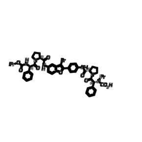 CC(C)OC(=O)N[C@@H](C(=O)N1CCC[C@H]1C(=O)Nc1ccc2oc(-c3ccc(NC(=O)[C@@H]4CCCN4C(=O)[C@@H](c4ccccc4)N(C(=O)O)C(C)C)cc3)c(Br)c2c1)c1ccccc1